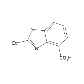 CCc1nc2c(C(=O)O)cccc2s1